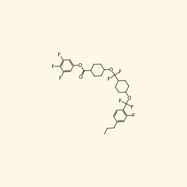 CCCc1ccc(C(F)(F)OC2CCC(C(F)(F)OC3CCC(C(=O)Oc4cc(F)c(F)c(F)c4)CC3)CC2)c(F)c1